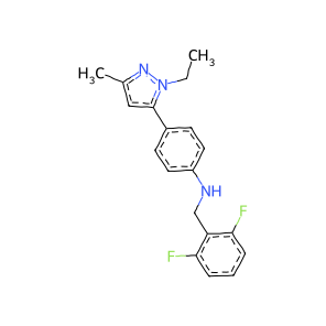 CCn1nc(C)cc1-c1ccc(NCc2c(F)cccc2F)cc1